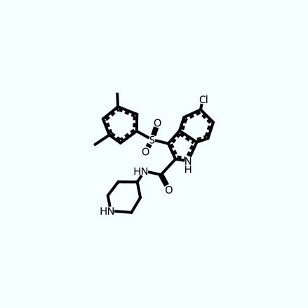 Cc1cc(C)cc(S(=O)(=O)c2c(C(=O)NC3CCNCC3)[nH]c3ccc(Cl)cc23)c1